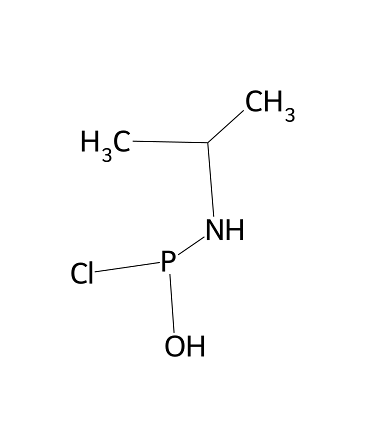 CC(C)NP(O)Cl